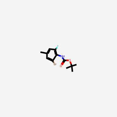 Cc1cc(F)c(NC(=O)OC(C)(C)C)c(Br)c1